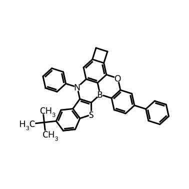 CC(C)(C)c1ccc2sc3c(c2c1)N(c1ccccc1)c1cc2c(c4c1B3c1ccc(-c3ccccc3)cc1O4)CC2